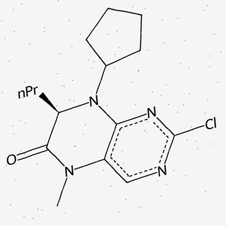 CCC[C@@H]1C(=O)N(C)c2cnc(Cl)nc2N1C1CCCC1